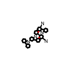 N#Cc1ccc(-c2ccccc2-n2c3ccccc3c3cc(-n4c5ccccc5c5ccccc54)ccc32)c(-n2c3ccccc3c3c(C#N)cccc32)c1